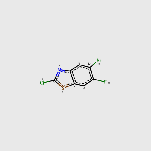 Fc1cc2sc(Cl)nc2cc1Br